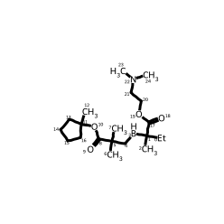 CCC(C)(BCC(C)(C)C(=O)OC1(C)CCCC1)C(=O)OCCN(C)C